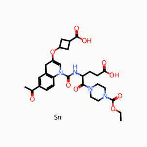 CCOC(=O)N1CCN(C(=O)C(CCC(=O)O)NC(=O)N2C=C(OC3CC(C(=O)O)C3)Cc3cc(C(C)=O)ccc32)CC1.[Sn]